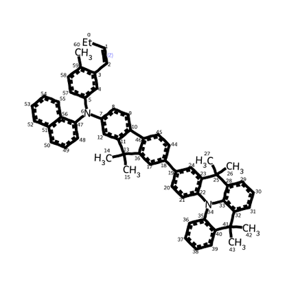 CC/C=C\c1cc(N(c2ccc3c(c2)C(C)(C)c2cc(-c4ccc5c(c4)C(C)(C)c4cccc6c4N5c4ccccc4C6(C)C)ccc2-3)c2cccc3ccccc23)ccc1C